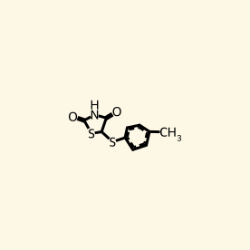 Cc1ccc(SC2SC(=O)NC2=O)cc1